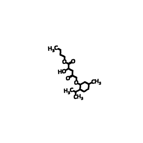 CCCCOC(=O)C(O)CC(=O)COC1CC(C)CCC1C(C)C